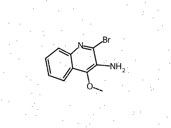 COc1c(N)c(Br)nc2ccccc12